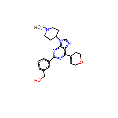 O=C(O)N1CCC(n2cnc3c(C4=CCOCC4)nc(-c4cccc(CO)c4)nc32)CC1